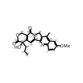 COc1ccc2nc3c(c(C)c2c1)Cn1c-3cc2c(c1=O)COC(=O)C2(O)CCF